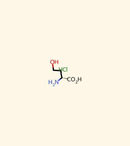 Cl.N[C@H](CCO)C(=O)O